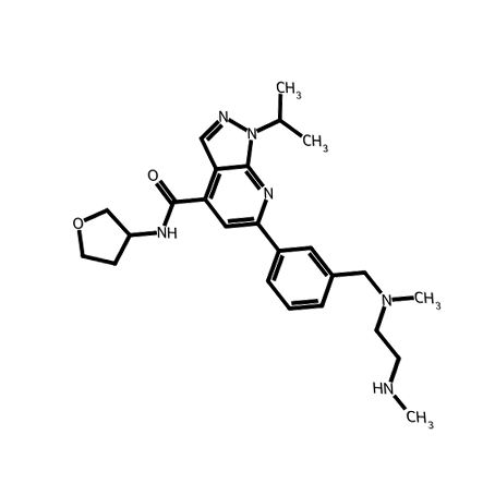 CNCCN(C)Cc1cccc(-c2cc(C(=O)NC3CCOC3)c3cnn(C(C)C)c3n2)c1